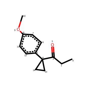 CCC(=O)C1(c2ccc(OC)cc2)CC1